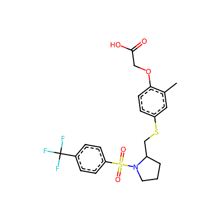 Cc1cc(SCC2CCCN2S(=O)(=O)c2ccc(C(F)(F)F)cc2)ccc1OCC(=O)O